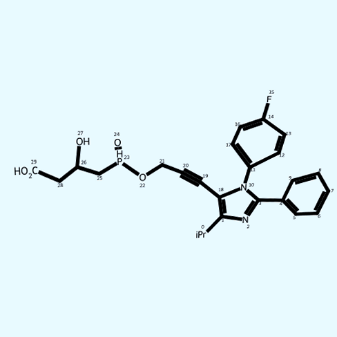 CC(C)c1nc(-c2ccccc2)n(-c2ccc(F)cc2)c1C#CCO[PH](=O)CC(O)CC(=O)O